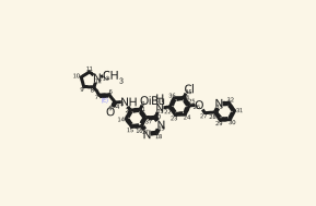 CC(C)COc1c(NC(=O)/C=C/C2CCCN2C)ccc2ncnc(Nc3ccc(OCc4ccccn4)c(Cl)c3)c12